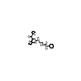 O=C(c1cccs1)c1nc(NCCNC(=S)Nc2ccccc2)nc2ccsc12